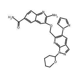 NC(=O)c1ccc2nc(N)c(OCc3nc4c(cnn4C4CCCCO4)cc3-n3cccn3)cc2c1